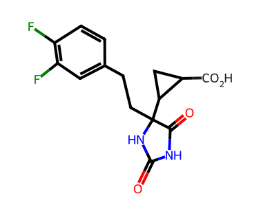 O=C1NC(=O)C(CCc2ccc(F)c(F)c2)(C2CC2C(=O)O)N1